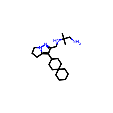 CC(C)(CN)NCc1nn2c(c1C1CCC3(CCCCC3)CC1)CCC2